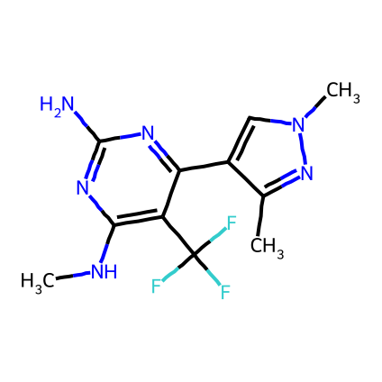 CNc1nc(N)nc(-c2cn(C)nc2C)c1C(F)(F)F